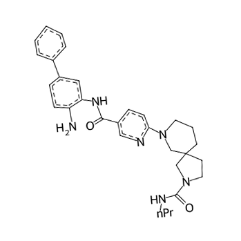 CCCNC(=O)N1CCC2(CCCN(c3ccc(C(=O)Nc4cc(-c5ccccc5)ccc4N)cn3)C2)C1